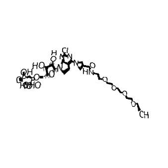 C#CCOCCOCCOCCOCCNC(=O)C1CN(c2nc(Cl)nc3c2ccn3[C@@H]2O[C@H](COP(=O)(O)CP(=O)(O)O)[C@@H](O)[C@H]2O)C1